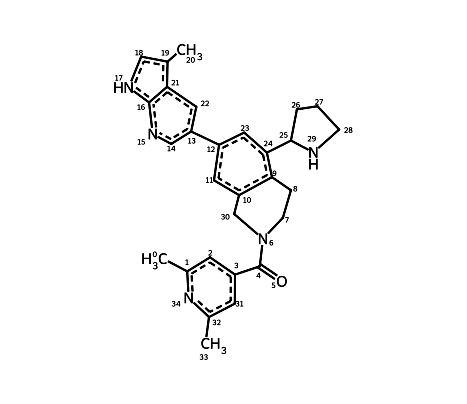 Cc1cc(C(=O)N2CCc3c(cc(-c4cnc5[nH]cc(C)c5c4)cc3C3CCCN3)C2)cc(C)n1